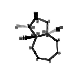 C[C@@H]1NC[C@H]2CCCCC[C@@H]21